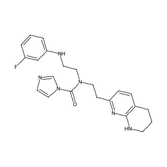 O=C(N(CCNc1cccc(F)c1)CCc1ccc2c(n1)NCCC2)n1ccnc1